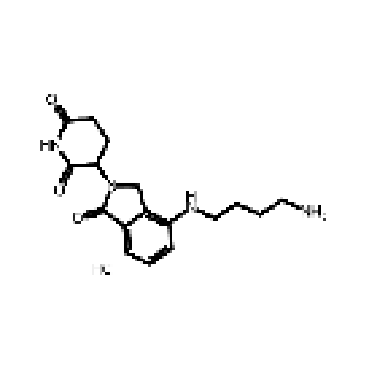 Cl.NCCCCNc1cccc2c1CN(C1CCC(=O)NC1=O)C2=O